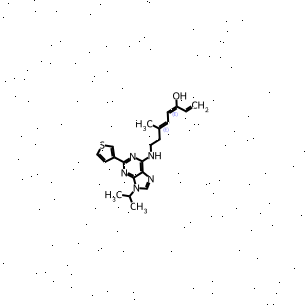 C=C/C(O)=C\C=C(/C)CCNc1nc(-c2ccsc2)nc2c1ncn2C(C)C